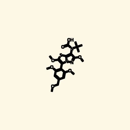 COCc1cc(OC)c(-c2c(OC)sc3c(N(C(=O)O)C(C)(C)C)c(OC)nn23)c(OC)c1